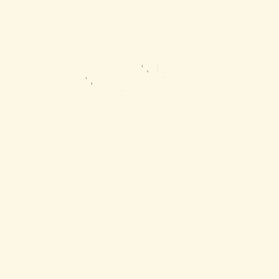 NC(N)=S.c1ccc(-c2ccccc2)cc1